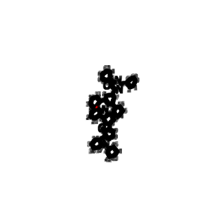 c1ccc(-c2nc(-c3cc(-c4ccccc4)c(-n4c5ccccc5c5c6oc7c(ccc8c7c7ccccc7n8-c7ccccc7)c6ccc54)c(-c4ccccc4)c3)c3oc4ccccc4c3n2)cc1